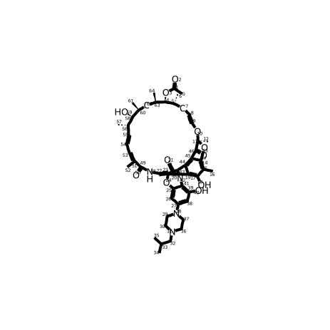 CC(=O)O[C@@H]1[C@H](C)C/C=C/O[C@@]2(C)Oc3c(C)c(O)c4c(=O)c(c5oc6cc(N7CCN(CC(C)C)CC7)cc(O)c6nc-5c4c3C2=O)NC(=O)/C(C)=C\C=C\[C@H](C)[C@H](O)[C@@H](C)C[C@H]1C